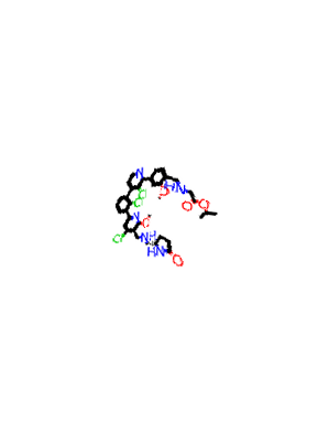 COc1cc(-c2nccc(-c3cccc(-c4cc(Cl)c(CNC[C@@H]5CCC(=O)N5)c(OC)n4)c3Cl)c2Cl)ccc1CNCC(=O)OC(C)C